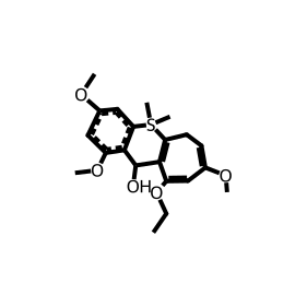 CCOC1=CC(OC)=CCC2=C1C(O)c1c(OC)cc(OC)cc1S2(C)C